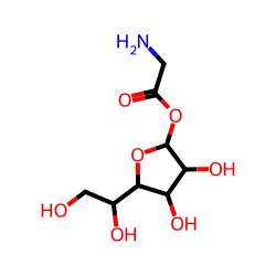 NCC(=O)OC1OC(C(O)CO)C(O)C1O